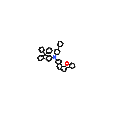 c1ccc(-c2ccc(N(c3ccc4c(c3)C(c3ccccc3)(c3ccccc3)c3ccccc3-4)c3ccc4c(ccc5ccc6c7ccccc7oc6c54)c3)cc2)cc1